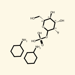 NC1CCCCC1.NC1CCCCC1.O=P(O)(O)OC1O[C@H](CO)[C@@H](O)[C@H](O)[C@@H]1F